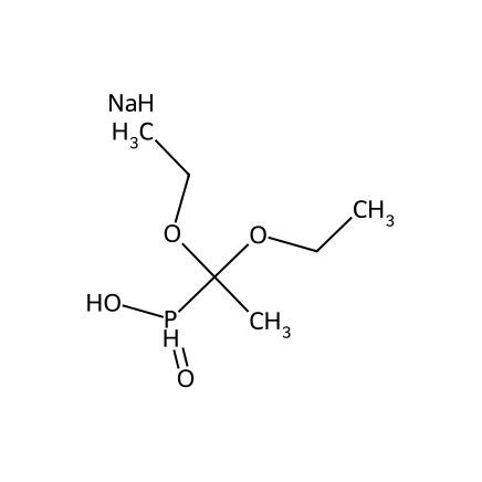 CCOC(C)(OCC)[PH](=O)O.[NaH]